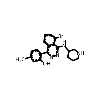 Cc1ccc(-c2nnc(NC3CCCNC3)c3c(Br)cccc23)c(O)c1